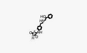 O=C1NC(=O)C(Nc2ccc(CCNC[C@@H](O)c3ccccc3)cc2)S1